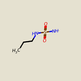 CCCNS([NH])(=O)=O